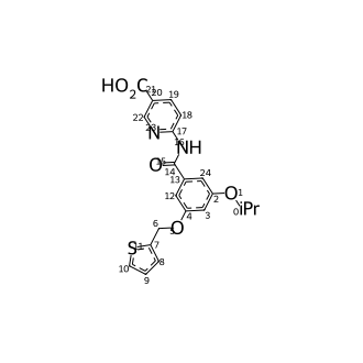 CC(C)Oc1cc(OCc2cccs2)cc(C(=O)Nc2ccc(C(=O)O)cn2)c1